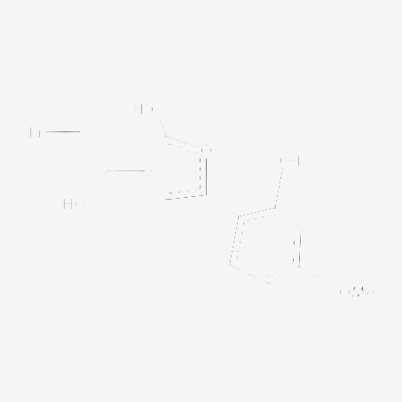 COc1ccc(-c2cc(C(O)CC(C)C)c(C)o2)c(C)c1